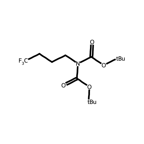 CC(C)(C)OC(=O)N(CCCC(F)(F)F)C(=O)OC(C)(C)C